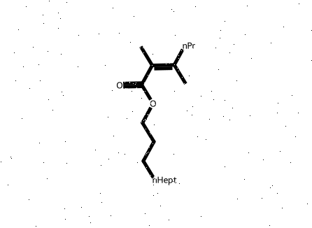 CCCCCCCCCCOC(=O)C(C)=C(C)CCC